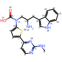 CNc1nccc(-c2ccc(N(CC(N)Cc3c[nH]c4ccccc34)C(=O)O)s2)n1